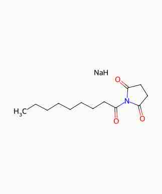 CCCCCCCCC(=O)N1C(=O)CCC1=O.[NaH]